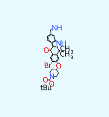 CC(C)(C)OC(=O)N1CCC(Oc2cc3c(cc2Br)C(=O)c2c([nH]c4cc(C=N)ccc24)C3(C)C)CC1